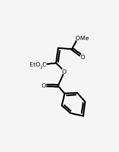 CCOC(=O)/C(=C/C(=O)OC)OC(=O)c1ccccc1